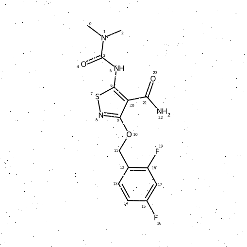 CN(C)C(=O)Nc1snc(OCc2ccc(F)cc2F)c1C(N)=O